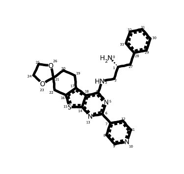 N[C@@H](CNc1nc(-c2ccncc2)nc2sc3c(c12)CCC1(C3)OCCO1)Cc1ccccc1